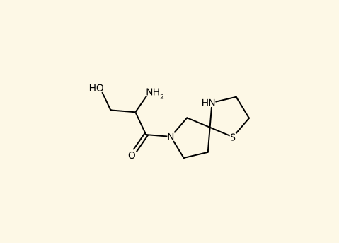 NC(CO)C(=O)N1CCC2(C1)NCCS2